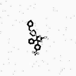 CS(=O)(=O)c1ccc(-c2nc(C(F)(F)F)nc(N3CCN(Cc4ccccc4)CC3)c2-c2ccccc2)cc1